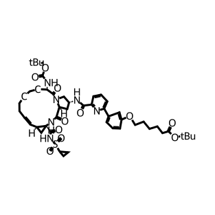 CC(C)(C)OC(=O)CCCCCOc1cccc(-c2cccc(C(=O)N[C@@H]3C[C@H]4C(=O)N[C@]5(C(=O)NS(=O)(=O)C6CC6)C[C@H]5/C=C\CCCCC[C@H](NC(=O)OC(C)(C)C)C(=O)N4C3)n2)c1